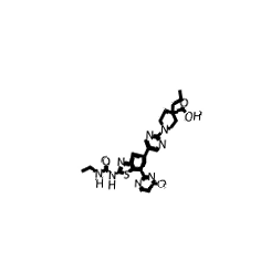 CCCC1(C(=O)O)CCN(c2ncc(-c3cc(-c4nccc(OC)n4)c4sc(NC(=O)NCC)nc4c3)cn2)CC1